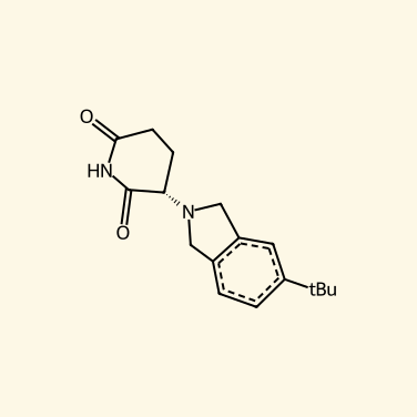 CC(C)(C)c1ccc2c(c1)CN([C@H]1CCC(=O)NC1=O)C2